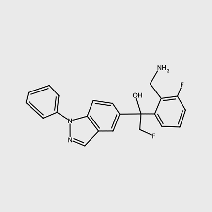 NCc1c(F)cccc1C(O)(CF)c1ccc2c(cnn2-c2ccccc2)c1